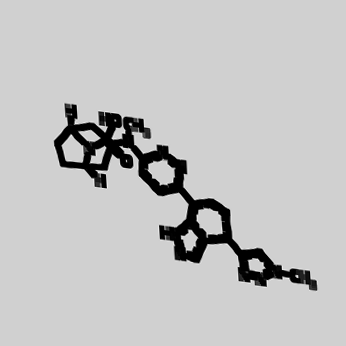 CN(c1ccc(-c2ccc(-c3cn(C)nn3)c3cn[nH]c23)nn1)C1C[C@H]2CC[C@@H](C1)N2C(=O)O